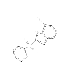 O=S(=O)(c1ccccc1)c1cc2cccc(Br)c2[nH]1